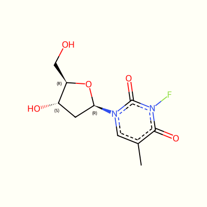 Cc1cn([C@H]2C[C@H](O)[C@@H](CO)O2)c(=O)n(F)c1=O